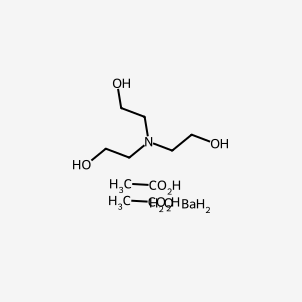 CC(=O)O.CC(=O)O.O.OCCN(CCO)CCO.[BaH2]